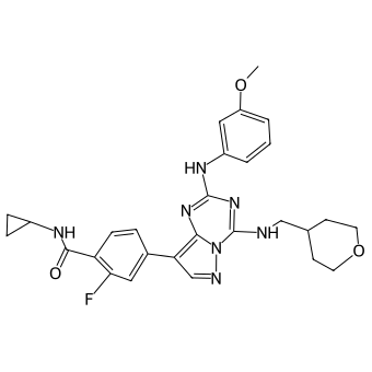 COc1cccc(Nc2nc(NCC3CCOCC3)n3ncc(-c4ccc(C(=O)NC5CC5)c(F)c4)c3n2)c1